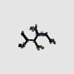 CC(=O)C(P)/C(C)=C\N